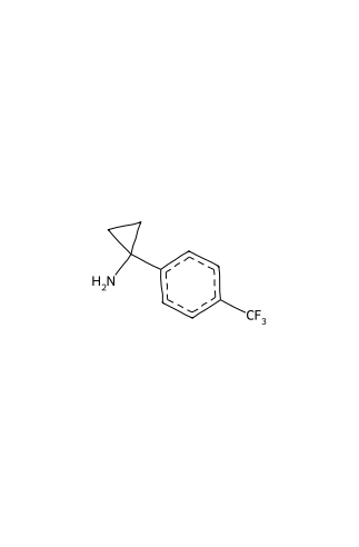 NC1(c2ccc(C(F)(F)F)cc2)CC1